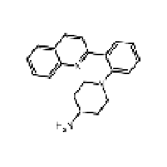 NC1CCN(c2ccccc2-c2ccc3ccccc3n2)CC1